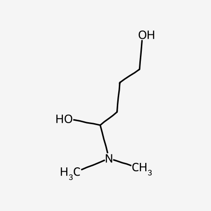 CN(C)C(O)CCCO